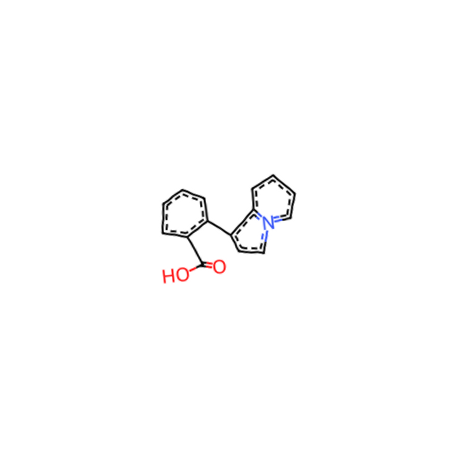 O=C(O)c1ccccc1-c1ccn2ccccc12